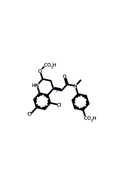 CN(C(=O)/C=C1\CC(OC(=O)O)Nc2cc(Cl)cc(Cl)c21)c1ccc(C(=O)O)cc1